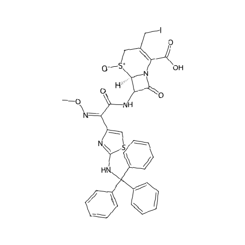 CO/N=C(\C(=O)NC1C(=O)N2C(C(=O)O)=C(CI)C[S+]([O-])[C@H]12)c1csc(NC(c2ccccc2)(c2ccccc2)c2ccccc2)n1